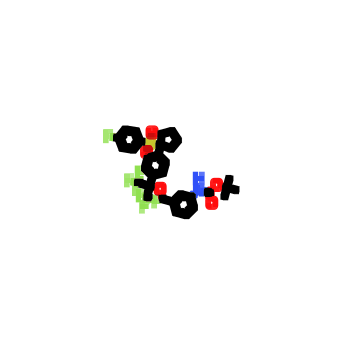 CC(C)(C)OC(=O)Nc1cccc(COC(c2ccc(C3(S(=O)(=O)c4ccc(F)cc4)CCCC3)cc2)(C(F)(F)F)C(F)(F)F)c1